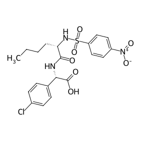 CCCC[C@H](NS(=O)(=O)c1ccc([N+](=O)[O-])cc1)C(=O)N[C@H](C(=O)O)c1ccc(Cl)cc1